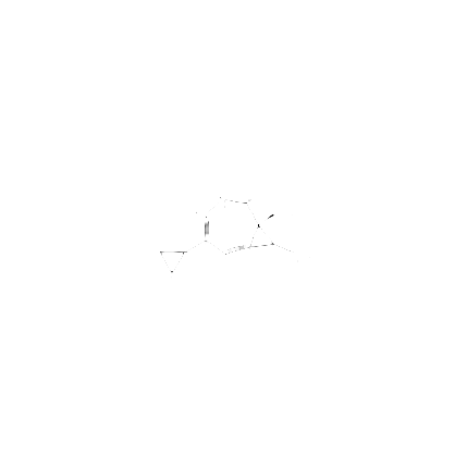 CC1C2=CC(C3CC3)=NNC[C@@]21C